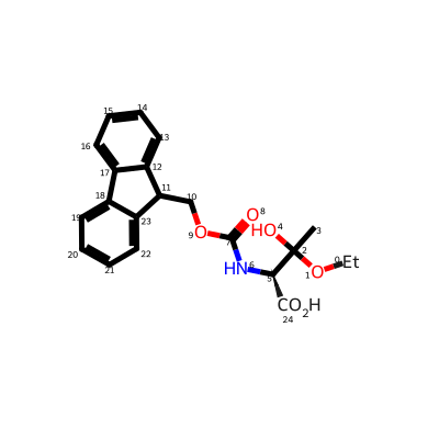 CCOC(C)(O)[C@H](NC(=O)OCC1c2ccccc2-c2ccccc21)C(=O)O